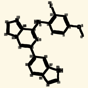 COc1ccc(Nc2nc(-c3ccc4cc[nH]c4c3)cn3ccnc23)c(F)c1